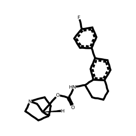 O=C(NC1CCCc2ccc(-c3ccc(F)cc3)cc21)O[C@H]1CN2CCC1CC2